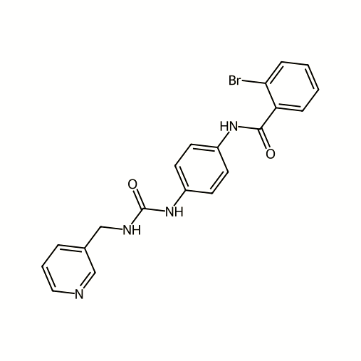 O=C(NCc1cccnc1)Nc1ccc(NC(=O)c2ccccc2Br)cc1